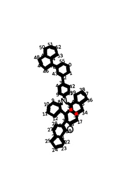 c1cc(-c2ccc(N(c3ccccc3-c3cccc4oc5c6ccccc6ccc5c34)c3cccc4ccccc34)cc2)cc(-c2cccc3ccccc23)c1